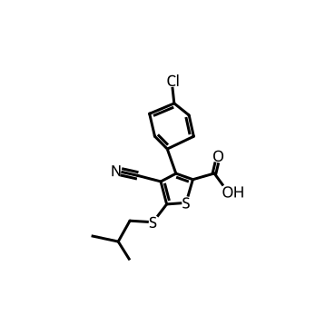 CC(C)CSc1sc(C(=O)O)c(-c2ccc(Cl)cc2)c1C#N